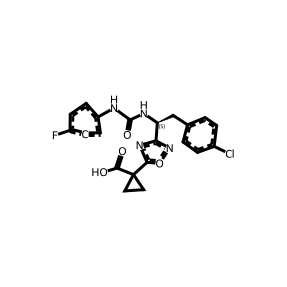 O=C(Nc1ccc(F)cc1)N[C@@H](Cc1ccc(Cl)cc1)c1noc(C2(C(=O)O)CC2)n1